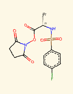 CC(C)[C@H](NS(=O)(=O)c1ccc(F)cc1)C(=O)ON1C(=O)CCC1=O